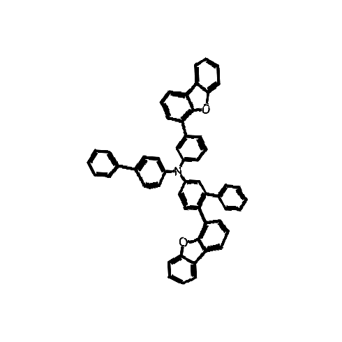 c1ccc(-c2ccc(N(c3cccc(-c4cccc5c4oc4ccccc45)c3)c3ccc(-c4cccc5c4oc4ccccc45)c(-c4ccccc4)c3)cc2)cc1